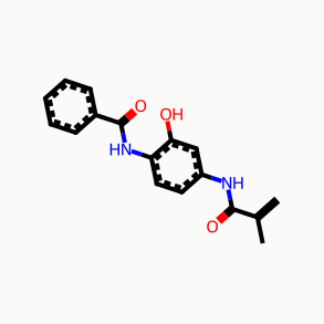 C=C(C)C(=O)Nc1ccc(NC(=O)c2ccccc2)c(O)c1